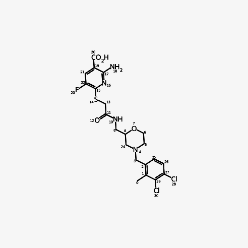 Cc1c(CN2CCOC(CNC(=O)CSc3nc(N)c(C(=O)O)cc3F)C2)ccc(Cl)c1Cl